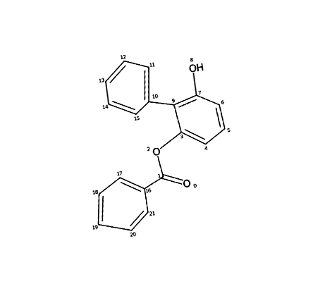 O=C(Oc1cccc(O)c1-c1ccccc1)c1ccccc1